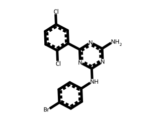 Nc1nc(Nc2ccc(Br)cc2)nc(-c2cc(Cl)ccc2Cl)n1